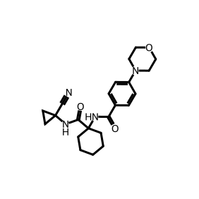 N#CC1(NC(=O)C2(NC(=O)c3ccc(N4CCOCC4)cc3)CCCCC2)CC1